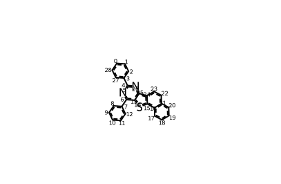 c1ccc(-c2nc(-c3ccccc3)c3sc4c5ccccc5ccc4c3n2)cc1